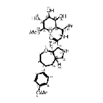 COc1ccc([C@@H]2CCO[C@@H]3[C@H](CN[C@@H]3C(=O)N[C@H](C(C)C)[C@H]3OC(SC)[C@H](O)C(O)C3O)C2)cc1